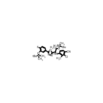 Cc1c(NC(c2nnc(-c3ccc(F)c(O[Si](C)(C)C(C)(C)C)c3)o2)[C@H](C)O[Si](C)(C)C(C)(C)C)ccc(C#N)c1Cl